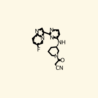 N#CCC(=O)N1CCC[C@@H](Nc2ccnc(-c3cnc4ccc(F)cn34)n2)C1